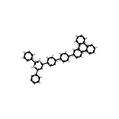 c1ccc(-c2cc(-c3ccc(-c4ccc(-c5ccc6c7ccccc7c7ccccc7c6c5)cc4)cc3)nc(-c3ccccc3)n2)cc1